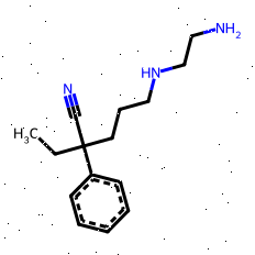 CCC(C#N)(CCCNCCN)c1ccccc1